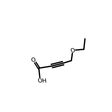 CCOCC#CC(=O)O